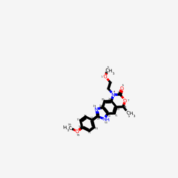 COCCN1C(=O)OC(C)c2cc3[nH]c(-c4ccc(OC)cc4)nc3cc21